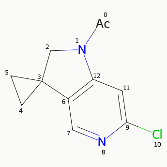 CC(=O)N1CC2(CC2)c2cnc(Cl)cc21